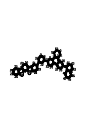 C1=Cc2c(c3cc(-c4cccc(-c5ccc6oc7c(ccc8c9ccccc9oc87)c6c5)c4)ccc3c3ccc(-c4cccc5ccccc45)cc23)CC1